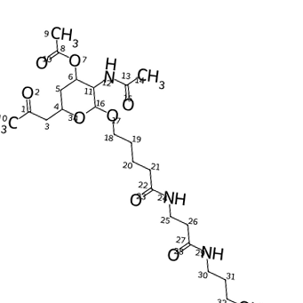 CC(=O)CC1CC(OC(C)=O)C(NC(C)=O)C(OCCCCC(=O)NCCC(=O)NCCCO)O1